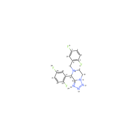 Fc1ccc(F)c(CN2CCn3nnnc3C2c2cc(F)ccc2F)c1